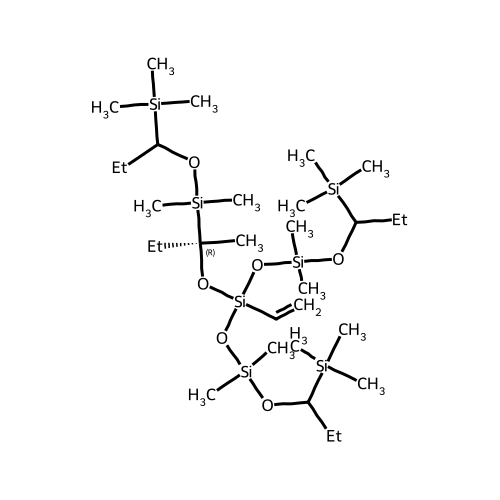 C=C[Si](O[C@@](C)(CC)[Si](C)(C)OC(CC)[Si](C)(C)C)(O[Si](C)(C)OC(CC)[Si](C)(C)C)O[Si](C)(C)OC(CC)[Si](C)(C)C